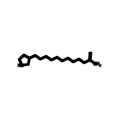 NC(=O)CCCCCCCCCCC1CCNC1